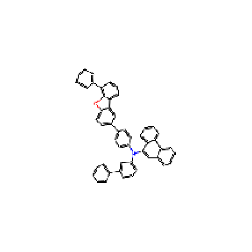 c1ccc(-c2cccc(N(c3ccc(-c4ccc5oc6c(-c7ccccc7)cccc6c5c4)cc3)c3cc4ccccc4c4ccccc34)c2)cc1